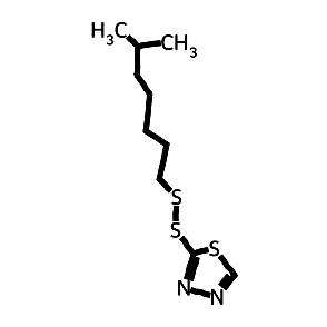 CC(C)CCCCCSSc1nncs1